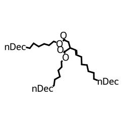 CCCCCCCCCCCCCCCCC=CC(CC(=O)OCCCCCCCCCCCCCCCC)C(=O)OCCCCCCCCCCCCCCCC